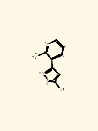 Cc1cc(-c2cccnc2C)n[nH]1